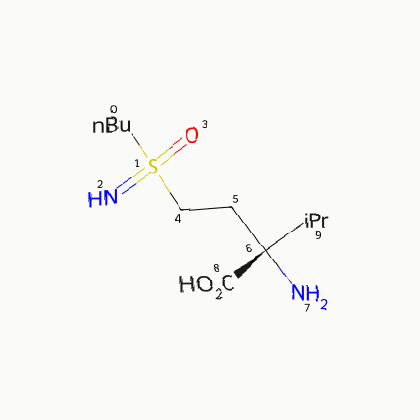 CCCCS(=N)(=O)CC[C@](N)(C(=O)O)C(C)C